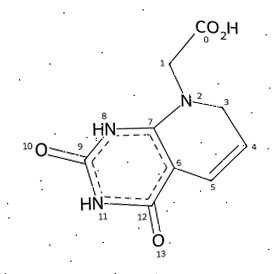 O=C(O)CN1CC=Cc2c1[nH]c(=O)[nH]c2=O